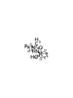 C[C@H](C(=O)NC1C2CC3CC(C2)CC1(O)C3)N1CC[C@@H](F)C1